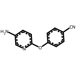 N#Cc1ccc(Oc2ccc(N)cn2)cc1